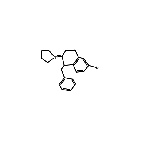 Brc1ccc2c(c1)CCC(=[N+]1CCCC1)C2Cc1ccccc1